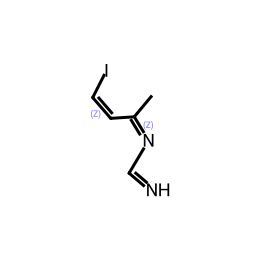 CC(/C=C\I)=N/C=N